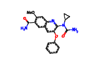 COc1cc2nc(N(C(N)=O)C3CC3)c(Oc3ccccc3)cc2cc1C(N)=O